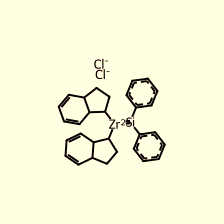 C1=CC2CC[CH]([Zr+2]([CH]3CCC4C=CC=CC43)=[Si](c3ccccc3)c3ccccc3)C2C=C1.[Cl-].[Cl-]